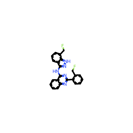 FCc1ccccc1-c1nc(Nc2n[nH]c3c(CF)cccc23)c2ccccc2n1